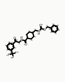 O=C(NCC1CCC(C(=O)NCC(=O)c2cccc(C(F)(F)F)c2)CC1)OCc1ccccc1